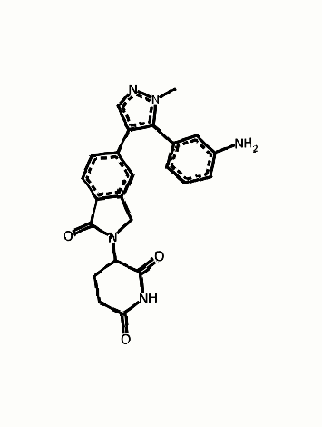 Cn1ncc(-c2ccc3c(c2)CN(C2CCC(=O)NC2=O)C3=O)c1-c1cccc(N)c1